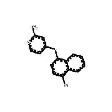 Bc1cc(Oc2ccc(C(C)(C)C)c3ccccc23)ccn1